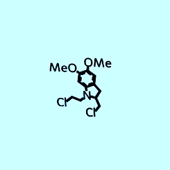 COc1cc2c(cc1OC)N(CCCl)C(CCl)C2